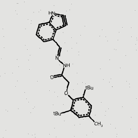 Cc1cc(C(C)(C)C)c(OCC(=O)N/N=C/c2cccc3[nH]c#cc23)c(C(C)(C)C)c1